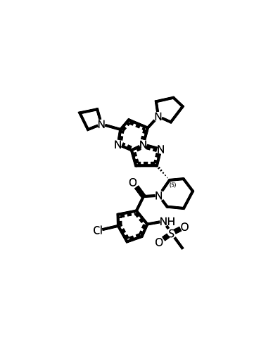 CS(=O)(=O)Nc1ccc(Cl)cc1C(=O)N1CCCC[C@H]1c1cc2nc(N3CCC3)cc(N3CCCC3)n2n1